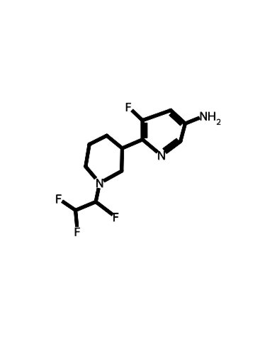 Nc1cnc(C2CCCN(C(F)C(F)F)C2)c(F)c1